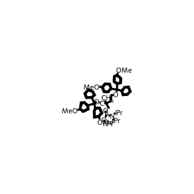 CCCOP(OCC(C)(CCOC(c1ccccc1)(c1ccc(OC)cc1)c1ccc(OC)cc1)COC(c1ccccc1)(c1ccc(OC)cc1)c1ccc(OC)cc1)N(C(C)C)C(C)C